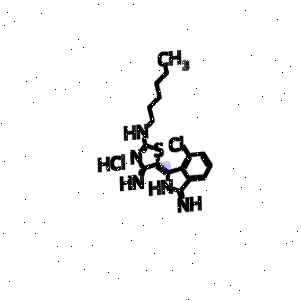 CCCCCCNC1=NC(=N)/C(=C2\NC(=N)c3cccc(Cl)c32)S1.Cl